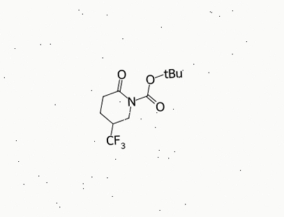 CC(C)(C)OC(=O)N1CC(C(F)(F)F)CCC1=O